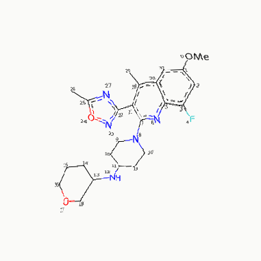 COc1cc(F)c2nc(N3CCC(NC4CCCOC4)CC3)c(-c3noc(C)n3)c(C)c2c1